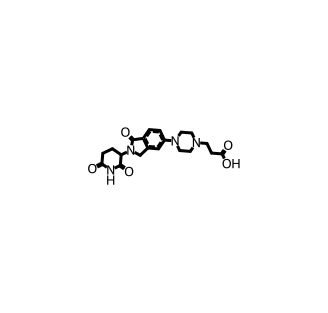 O=C(O)CCN1CCN(c2ccc3c(c2)CN(C2CCC(=O)NC2=O)C3=O)CC1